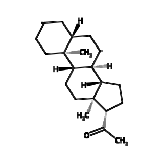 CC(=O)[C@H]1CC[C@H]2[C@@H]3[CH]C[C@H]4C[CH]CC[C@]4(C)[C@H]3CC[C@]12C